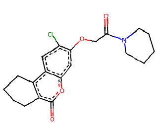 O=C(COc1cc2oc(=O)c3c(c2cc1Cl)CCCC3)N1CCCCC1